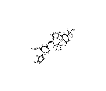 COc1cc(/C=C2\CC3(COC3)CN3C2=NOC3(C)c2cc(F)cc([Si](C)(C)C)c2)ccc1-n1cnc(C)c1